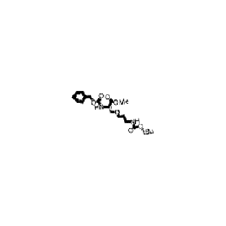 COC(=O)[C@H](COCCCNC(=O)OC(C)(C)C)NC(=O)OCc1ccccc1